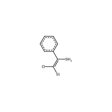 CCC(Cl)=C([SiH3])c1ccccc1